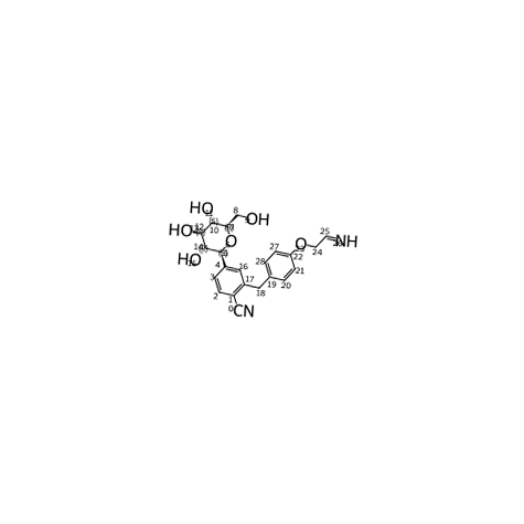 N#Cc1ccc([C@@H]2O[C@H](CO)[C@@H](O)[C@H](O)[C@H]2O)cc1Cc1ccc(OCC=N)cc1